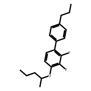 CCCc1ccc(-c2ccc(OC(C)CCC)c(F)c2F)cc1